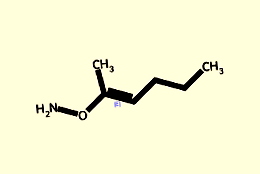 CCC/C=C(\C)ON